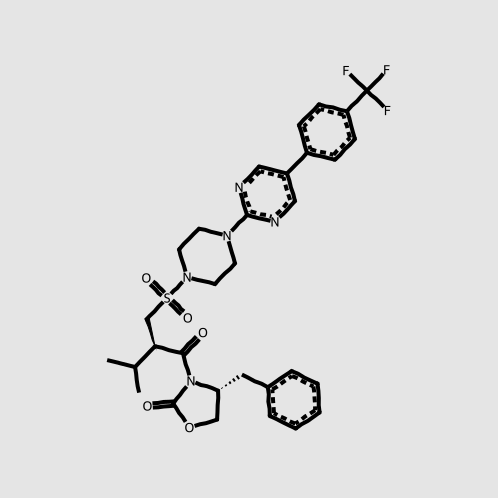 CC(C)[C@@H](CS(=O)(=O)N1CCN(c2ncc(-c3ccc(C(F)(F)F)cc3)cn2)CC1)C(=O)N1C(=O)OC[C@H]1Cc1ccccc1